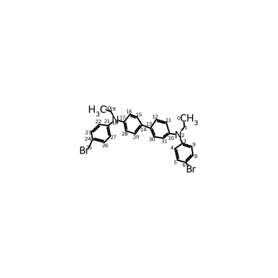 CCN(c1ccc(Br)cc1)c1ccc(-c2ccc(N(CC)c3ccc(Br)cc3)cc2)cc1